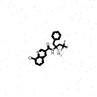 C[C@@](Cc1ccccc1)(CC(F)(F)F)NC(=O)c1cnc2c(Cl)cccc2c1